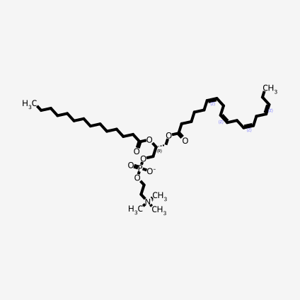 CC/C=C\C/C=C\C/C=C\C/C=C\CCCCC(=O)OC[C@H](COP(=O)([O-])OCC[N+](C)(C)C)OC(=O)CCCCCCCCCCCCC